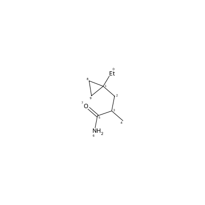 CCC1(CC(C)C(N)=O)CC1